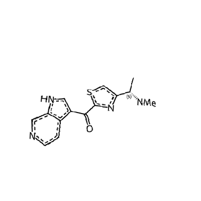 CN[C@@H](C)c1csc(C(=O)c2c[nH]c3cnccc23)n1